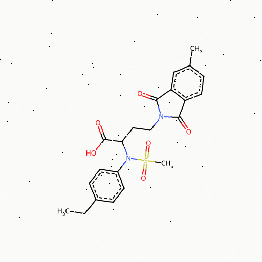 CCc1ccc(N(C(CCN2C(=O)c3ccc(C)cc3C2=O)C(=O)O)S(C)(=O)=O)cc1